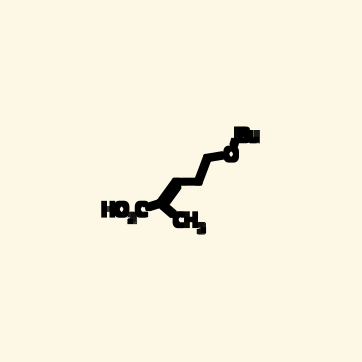 CCC(C)OCCC=C(C)C(=O)O